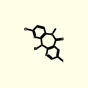 CCN1c2ncc(I)cc2C(=O)N(C)c2ccc(Cl)nc21